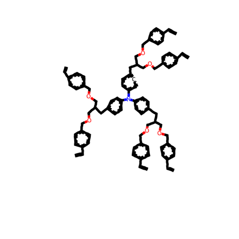 C=Cc1ccc(COCC(COCc2ccc(C=C)cc2)Cc2ccc(N(c3ccc(CC(COCc4ccc(C=C)cc4)COCc4ccc(C=C)cc4)cc3)c3ccc(CC(COCc4ccc(C=C)cc4)COCc4ccc(C=C)cc4)cc3)cc2)cc1